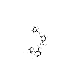 CC1CCN(c2ncccc2C(=O)NS(=O)(=O)c2cccc(NCc3ccco3)n2)C1(C)C